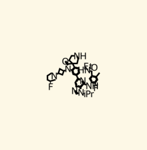 CCNC(=O)c1cc(Nc2nc(-c3ccc4c(c3)N(C3CC(N5CCC[C@H](F)C5)C3)C(=O)C43CCNCC3)cc3ncn(C(C)C)c23)c(F)cc1C